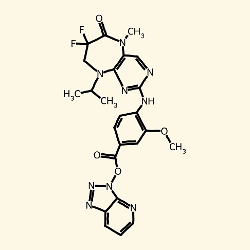 COc1cc(C(=O)On2nnc3cccnc32)ccc1Nc1ncc2c(n1)N(C(C)C)CC(F)(F)C(=O)N2C